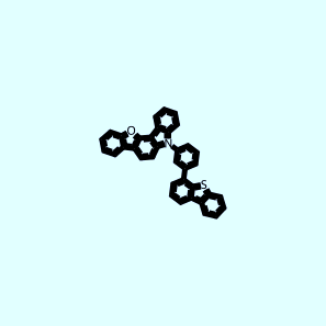 c1cc(-c2cccc3c2sc2ccccc23)cc(-n2c3ccccc3c3c4oc5ccccc5c4ccc32)c1